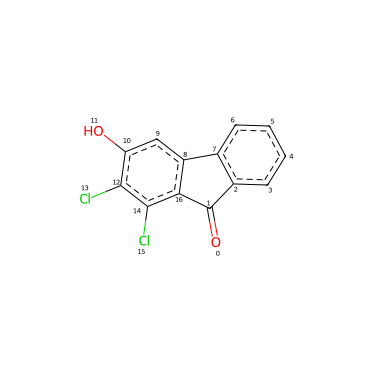 O=C1c2ccccc2-c2cc(O)c(Cl)c(Cl)c21